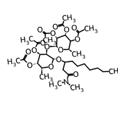 CCCCCCCC(CC(=O)N(C)C)O[C@@H]1O[C@@H](C)[C@H](OC(C)=O)[C@@H](OC(C)=O)[C@H]1O[C@@H]1O[C@H](C)C(OC(C)=O)[C@@H](OC(C)=O)[C@H]1OC(C)=O